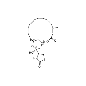 CC1=CC(=O)O[C@@H]2C[C@@H](CCCC=CC=CCC1)O[C@@](O)(C1CSC(=O)N1)C2